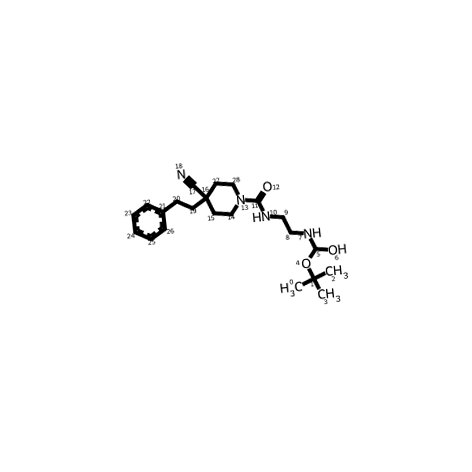 CC(C)(C)OC(O)NCCNC(=O)N1CCC(C#N)(CCc2ccccc2)CC1